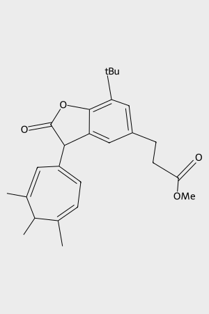 COC(=O)CCc1cc2c(c(C(C)(C)C)c1)OC(=O)C2C1=CC=C(C)C(C)C(C)=C1